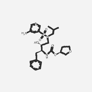 CC(C)CN(C[C@@H](O)[C@H](Cc1ccccc1)NC(=O)O[C@H]1CCOC1)S(=O)(=O)c1cncc(N)c1